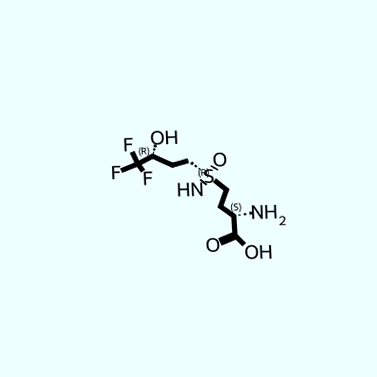 N=[S@](=O)(CC[C@@H](O)C(F)(F)F)CC[C@H](N)C(=O)O